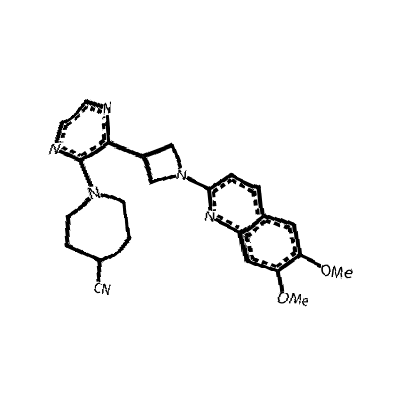 COc1cc2ccc(N3CC(c4nccnc4N4CCC(C#N)CC4)C3)nc2cc1OC